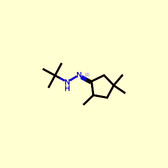 CC1CC(C)(C)C/C1=N/NC(C)(C)C